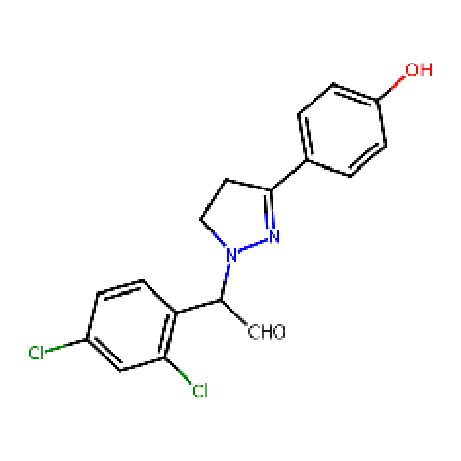 O=CC(c1ccc(Cl)cc1Cl)N1CCC(c2ccc(O)cc2)=N1